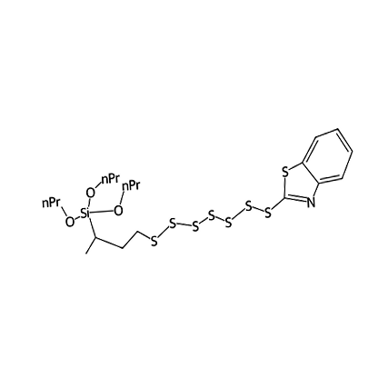 CCCO[Si](OCCC)(OCCC)C(C)CCSSSSSSSc1nc2ccccc2s1